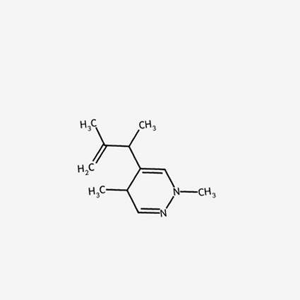 C=C(C)C(C)C1=CN(C)N=CC1C